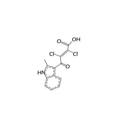 Cc1[nH]c2ccccc2c1C(=O)/C(Cl)=C(\Cl)C(=O)O